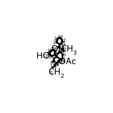 C=CCN1CCC2(c3cccc(O)c3)C[C@H](N(C)C(=O)c3ccccc3)CCC2(OC(C)=O)C1